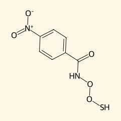 O=C(NOOS)c1ccc([N+](=O)[O-])cc1